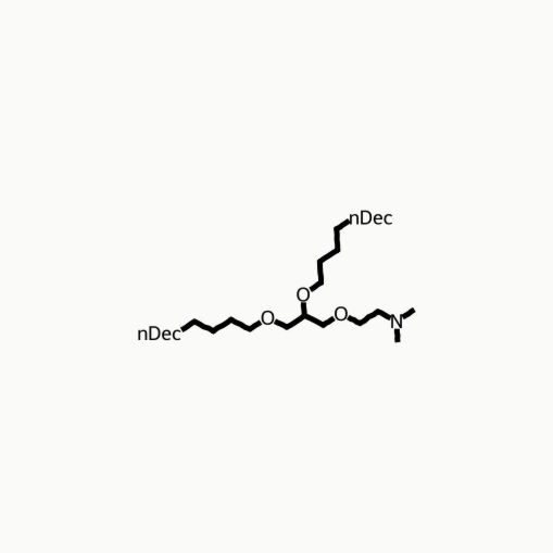 CCCCCCCCCCCCCCOCC(COCCN(C)C)OCCCCCCCCCCCCCC